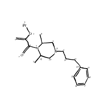 C=C(OC(C)C)C(=O)N1C(C)CN(CCCc2ccccc2)CC1C